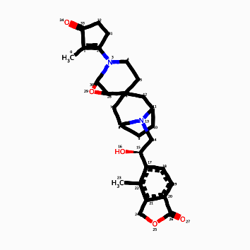 CC1=C(N2CCC3(CC4CCC(C3)N4C[C@H](O)c3ccc4c(c3C)COC4=O)C3OC32)CCC1=O